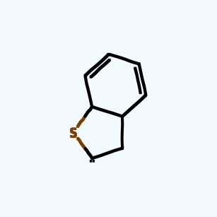 [C]1CC2C=CC=CC2S1